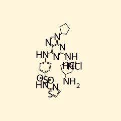 Cl.Cl.NC1CCC(Nc2nc(Nc3ccc(S(=O)(=O)Nc4nccs4)cc3)c3ncn(C4CCCC4)c3n2)CC1